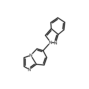 c1ccc2nn(-c3ccc4nccn4c3)cc2c1